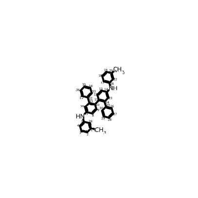 Cc1cccc(Nc2ccc(-c3ccc(Nc4cccc(C)c4)cc3-c3ccccc3)c(-c3ccccc3)c2)c1